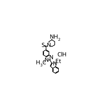 CCn1c(-c2nc3cc(C(=S)N4CCCC(N)C4)ccc3n2C)cc2ccccc21.Cl